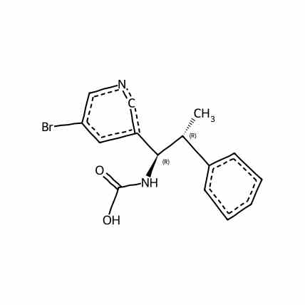 C[C@H](c1ccccc1)[C@@H](NC(=O)O)c1cncc(Br)c1